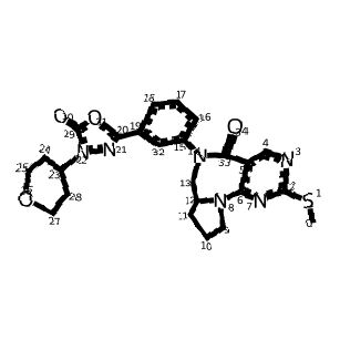 CSc1ncc2c(n1)N1CCCC1CN(c1cccc(-c3nn(C4CCOCC4)c(=O)o3)c1)C2=O